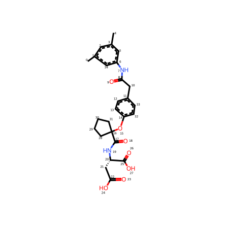 Cc1cc(C)cc(NC(=O)Cc2ccc(OC3(C(=O)N[C@@H](CC(=O)O)C(=O)O)CCCC3)cc2)c1